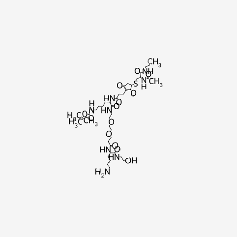 CCCNC(=O)C(CSC1CC(=O)C(CCC(=O)NC(CCCCNC(=O)OC(C)(C)C)C(=O)NCCOCCOCCC(=O)NC(CCCCN)C(=O)NCCO)C1=O)NC(C)=O